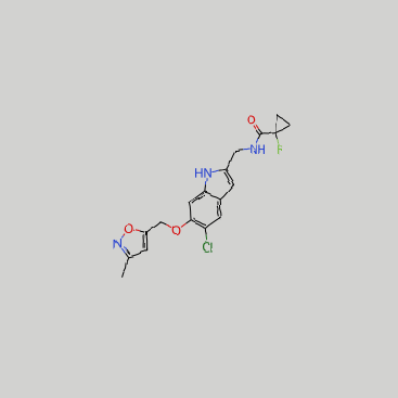 Cc1cc(COc2cc3[nH]c(CNC(=O)C4(F)CC4)cc3cc2Cl)on1